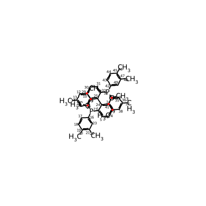 COc1cccc(P(c2cc(C)cc(C)c2)c2ccc(C)c(C)c2)c1-c1c(OC)cccc1P(c1cc(C)cc(C)c1)c1ccc(C)c(C)c1